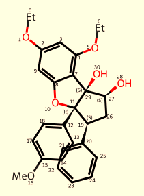 CCOc1cc(OCC)c2c(c1)O[C@@]1(c3ccc(OC)cc3)[C@H](c3ccccc3)C[C@H](O)[C@@]21O